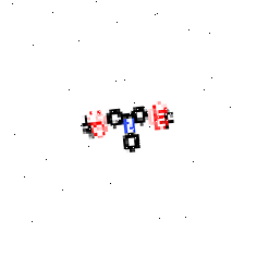 CC1(C)OB(c2ccc3c4ccc(B5OC(C)(C)C(C)(C)O5)cc4n(-c4ccccc4)c3c2)OC1(C)C